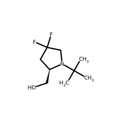 CC(C)(C)N1CC(F)(F)C[C@@H]1CO